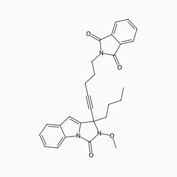 CCCCC1(C#CCCCN2C(=O)c3ccccc3C2=O)c2cc3ccccc3n2C(=O)N1OC